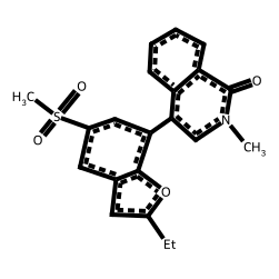 CCc1cc2cc(S(C)(=O)=O)cc(-c3cn(C)c(=O)c4ccccc34)c2o1